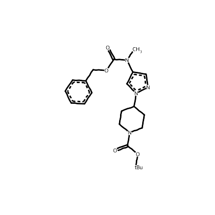 CN(C(=O)OCc1ccccc1)c1cnn(C2CCN(C(=O)OC(C)(C)C)CC2)c1